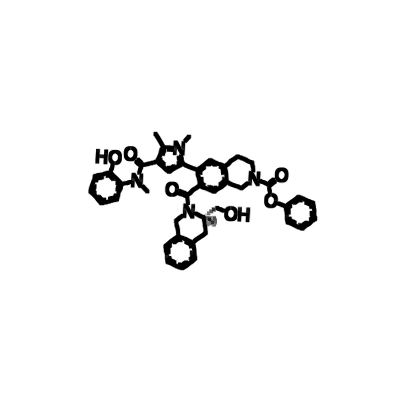 Cc1c(C(=O)N(C)c2ccccc2O)cc(-c2cc3c(cc2C(=O)N2Cc4ccccc4C[C@H]2CO)CN(C(=O)Oc2ccccc2)CC3)n1C